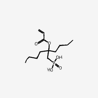 C=CC(=O)OC(CCCC)(CCCC)CP(=O)(O)O